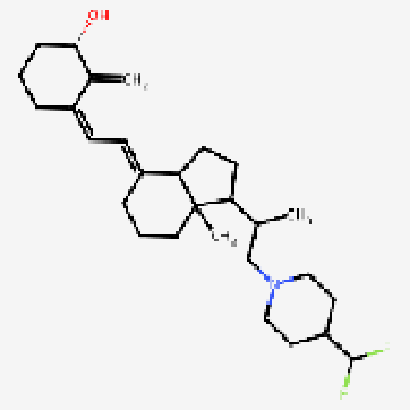 C=C1/C(=C\C=C2/CCCC3(C)C2CCC3C(C)CN2CCC(C(F)F)CC2)CCC[C@@H]1O